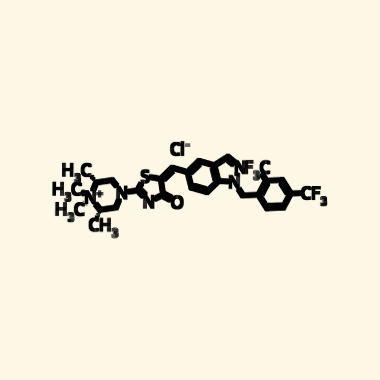 C[C@@H]1CN(C2=NC(=O)/C(=C\c3ccc4c(cnn4Cc4ccc(C(F)(F)F)cc4C(F)(F)F)c3)S2)C[C@H](C)[N+]1(C)C.[Cl-]